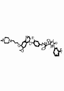 COc1cc2c(Oc3ccc(NC(=O)c4nn(-c5cccc(F)c5)c(=O)n(C)c4=O)cc3F)ccnc2cc1OCCCN1CCN(C)CC1